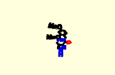 COc1ccc(CNC(=O)c2n[nH]cc2C)c(OC)c1